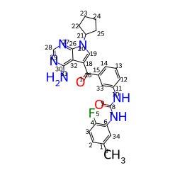 Cc1ccc(F)c(NC(=O)Nc2cccc(C(=O)c3cn(C4CCCC4)c4ncnc(N)c34)c2)c1